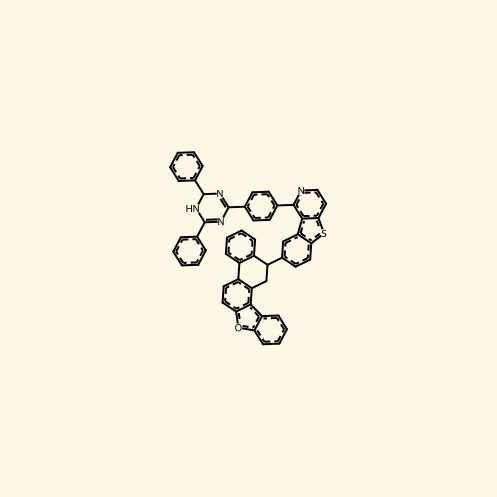 c1ccc(C2=NC(c3ccc(-c4nccc5sc6ccc(C7Cc8c(ccc9oc%10ccccc%10c89)-c8ccccc87)cc6c45)cc3)=NC(c3ccccc3)N2)cc1